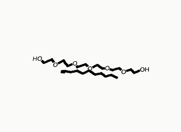 C=CCCCCCCCCC.OCCOCCOCCOCCOCCOCCO